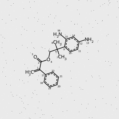 C=C(C(=O)OCC(C)(C)c1ccc(N)cc1N)c1ccccc1